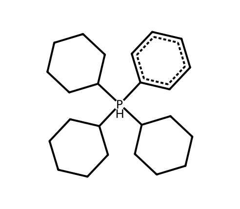 c1ccc([PH](C2CCCCC2)(C2CCCCC2)C2CCCCC2)cc1